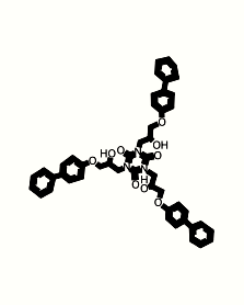 O=c1n(CC(O)COc2ccc(-c3ccccc3)cc2)c(=O)n(CC(O)COc2ccc(-c3ccccc3)cc2)c(=O)n1CC(O)COc1ccc(-c2ccccc2)cc1